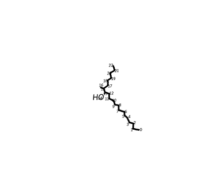 CCCCCCCCCCCCCC(O)C(C)CCCCCC